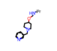 CC(C)NCOC1CCN(Cc2cccnc2)CC1